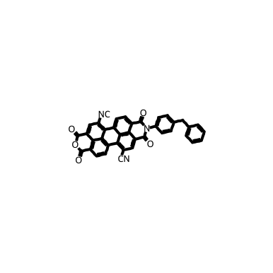 [C-]#[N+]c1cc2c3c(ccc4c5c(C#N)cc6c7c(ccc(c1c34)c75)C(=O)N(c1ccc(Cc3ccccc3)cc1)C6=O)C(=O)OC2=O